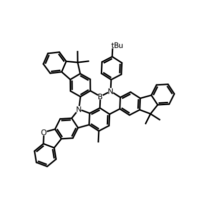 Cc1cc2c3c4c1c1cc5c(cc1n4-c1cc4c(cc1B3N(c1ccc(C(C)(C)C)cc1)c1cc3c(cc1-2)C(C)(C)c1ccccc1-3)C(C)(C)c1ccccc1-4)oc1ccccc15